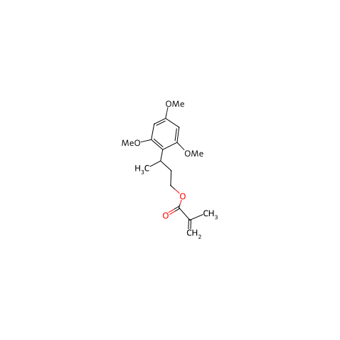 C=C(C)C(=O)OCCC(C)c1c(OC)cc(OC)cc1OC